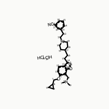 CN(C)Cc1c(OCC2CC2)ccc2c(CCC3CCN(CCc4cccc(C#N)c4)CC3)noc12.Cl.Cl